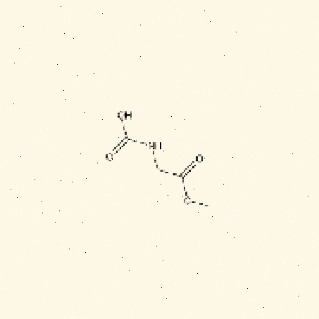 COC(=O)CNC(=O)O